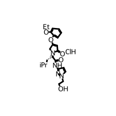 CCOc1ccccc1OC1=CC(=O)N([C@@H](CC(C)C)C(=O)Nc2ccn(CCO)n2)C1.Cl